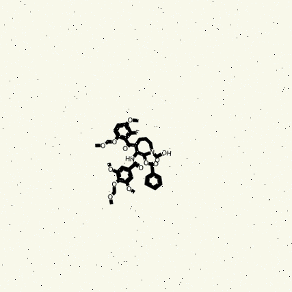 COCOc1ccc(OC)c(F)c1C(=O)C1CCCN(C(=O)O)C(OC(=O)c2ccccc2)C1NC(=O)c1cc(OC)c(OCOC)c(OC)c1